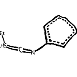 CC[SH]=C=Nc1ccccc1